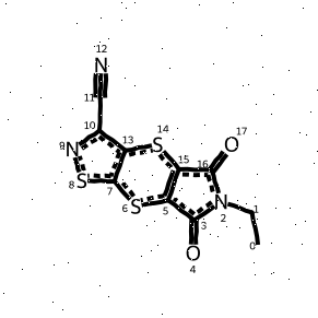 CCn1c(=O)c2sc3snc(C#N)c3sc=2c1=O